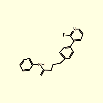 C=C(CCCc1ccc(-c2cccnc2F)cc1)Nc1ccccc1